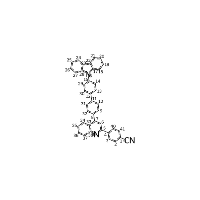 N#Cc1ccc(-c2cc(-c3ccc(-c4ccc(-n5c6ccccc6c6ccccc65)cc4)cc3)c3ccccc3n2)cc1